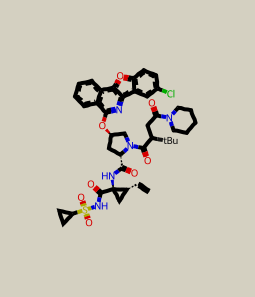 C=C[C@@H]1C[C@]1(NC(=O)[C@@H]1C[C@@H](Oc2nc3c4cc(Cl)ccc4oc3c3ccccc23)CN1C(=O)C(CC(=O)N1CCCCC1)C(C)(C)C)C(=O)NS(=O)(=O)C1CC1